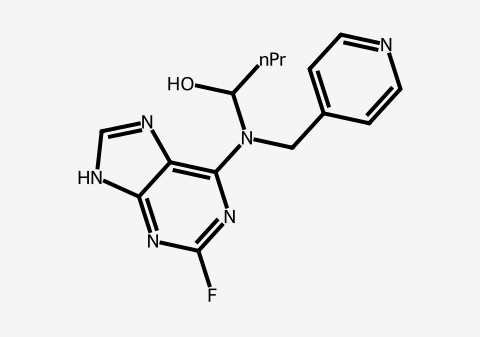 CCCC(O)N(Cc1ccncc1)c1nc(F)nc2[nH]cnc12